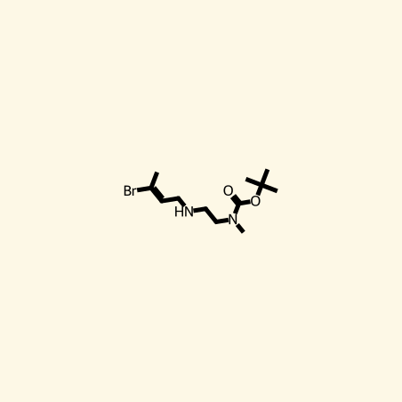 C/C(Br)=C\CNCCN(C)C(=O)OC(C)(C)C